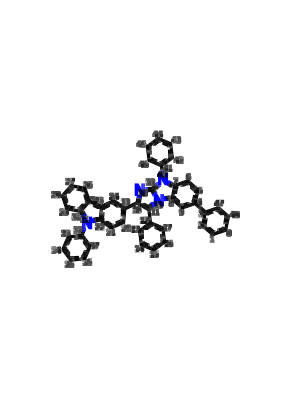 c1ccc(-c2ccc3c(c2)n2c(-c4ccccc4)c(-c4ccc5c(c4)c4ccccc4n5-c4ccccc4)nc2n3-c2ccccc2)cc1